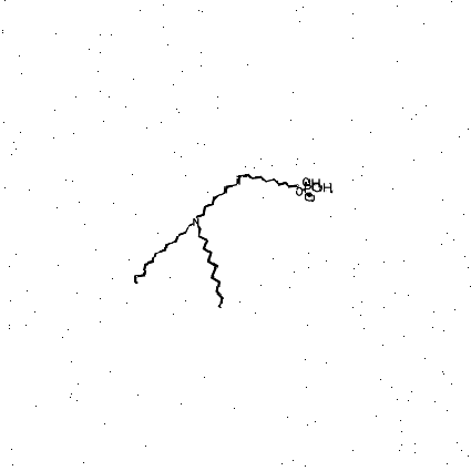 CCCCCCCCCCCCN(CCCCCCCC/C=C\CCCCCCCCOP(=O)(O)O)CCCCCCCCCCCC